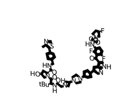 Cc1ncsc1-c1ccc(CNC(=O)[C@@H]2C[C@@H](O)CN2C(=O)[C@@H](NC(O)CN2CC(N3CCN(c4ccc(-c5cnc6[nH]cc(C(=O)c7c(F)ccc(NS(=O)(=O)N8CC[C@@H](F)C8)c7F)c6c5)cc4)CC3)C2)C(C)(C)C)cc1